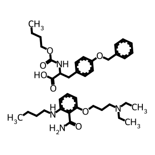 CCCCNc1cccc(OCCCN(CC)CC)c1C(N)=O.CCCCOC(=O)NC(Cc1ccc(OCc2ccccc2)cc1)C(=O)O